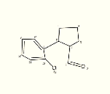 O=CC1CCCC1c1ccccc1Cl